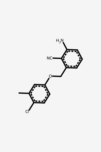 Cc1cc(OCc2cccc(N)c2C#N)ccc1Cl